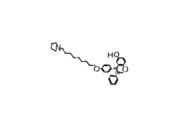 Oc1ccc2c(c1)[C@@H](c1ccc(OCCCCCCCCCN3CCCC3)cc1)[C@@H](c1ccccc1)CO2